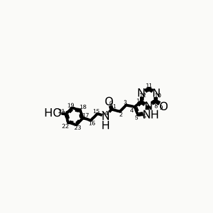 O=C(CCc1c[nH]n2c(=O)ncnc12)NCCc1ccc(O)cc1